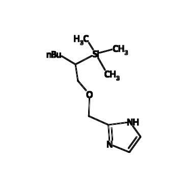 CCCCC(COCc1ncc[nH]1)[Si](C)(C)C